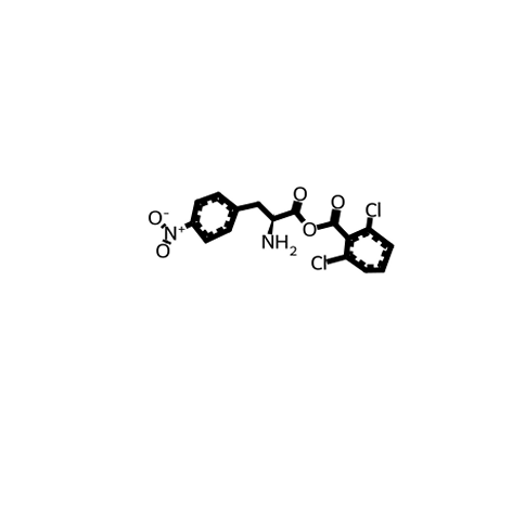 N[C@@H](Cc1ccc([N+](=O)[O-])cc1)C(=O)OC(=O)c1c(Cl)cccc1Cl